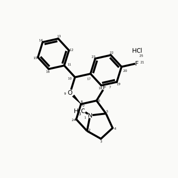 CN1C2CCC1C(F)[C@H](OC(c1ccccc1)c1ccc(F)cc1)C2.Cl